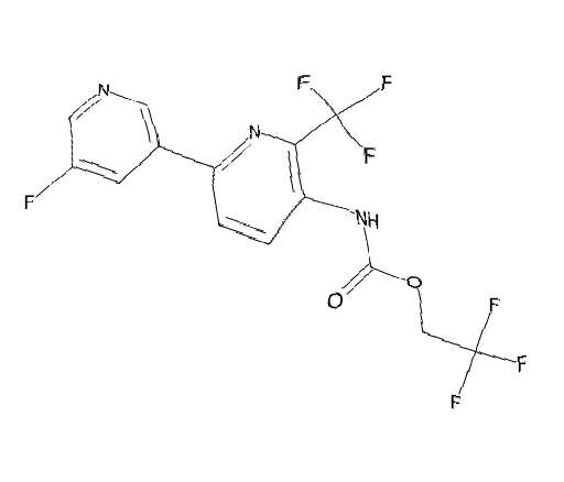 O=C(Nc1ccc(-c2cncc(F)c2)nc1C(F)(F)F)OCC(F)(F)F